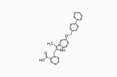 Cc1c(Cc2ccccc2C(=O)O)[nH]c2ccc(OCc3ccc(-c4ccccc4)cc3)cc12